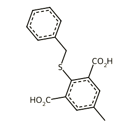 Cc1cc(C(=O)O)c(SCc2ccccc2)c(C(=O)O)c1